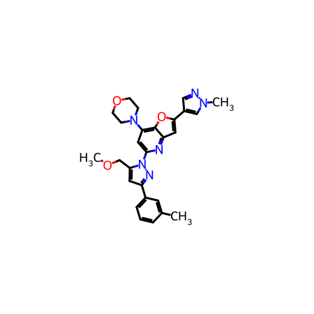 COCc1cc(-c2cccc(C)c2)nn1-c1cc(N2CCOCC2)c2oc(-c3cnn(C)c3)cc2n1